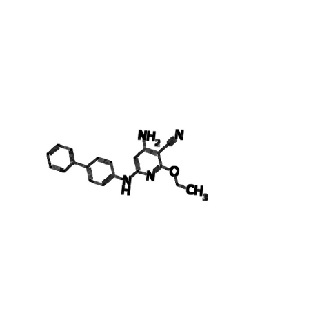 CCOc1nc(Nc2ccc(-c3ccccc3)cc2)cc(N)c1C#N